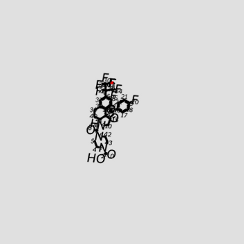 O=C(O)N1CCN(C(=O)N2CC[C@@]3(S(=O)(=O)c4ccc(F)cc4)c4ccc(C(F)(C(F)(F)F)C(F)(F)F)cc4CC[C@@H]23)CC1